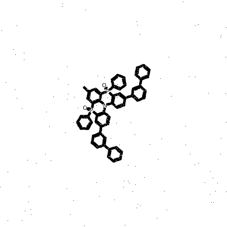 Cc1cc2c3c(c1)P(=O)(c1ccccc1)c1cc(-c4cccc(-c5ccccc5)c4)ccc1N3c1ccc(-c3cccc(-c4ccccc4)c3)cc1P2(=O)c1ccccc1